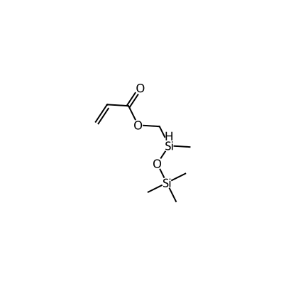 C=CC(=O)OC[SiH](C)O[Si](C)(C)C